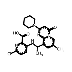 Cc1cc([C@@H](C)Nc2ccc(Cl)nc2C(=O)O)c2nc(N3CCCCC3)cc(=O)n2c1